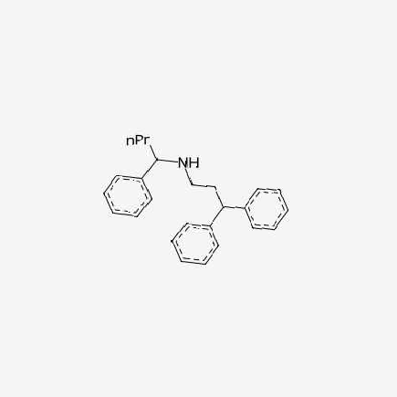 CCCC(NCCC(c1ccccc1)c1ccccc1)c1ccccc1